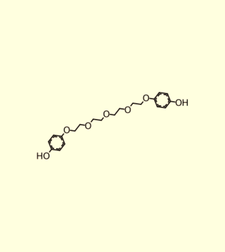 Oc1ccc(OCCOCCOCCOCCOc2ccc(O)cc2)cc1